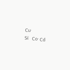 [Cd].[Co].[Cu].[Si]